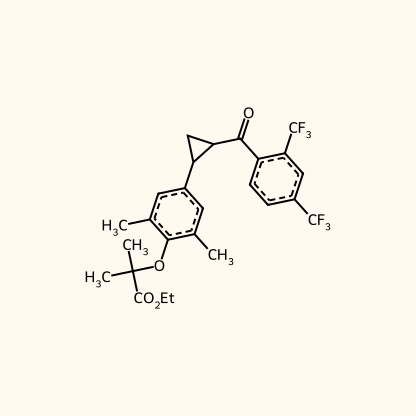 CCOC(=O)C(C)(C)Oc1c(C)cc(C2CC2C(=O)c2ccc(C(F)(F)F)cc2C(F)(F)F)cc1C